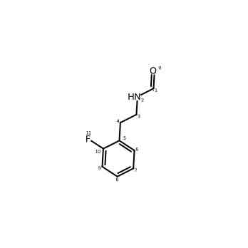 O=[C]NCCc1ccccc1F